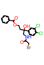 O=C(CBr)NCC(O)(CCOC(=O)c1ccccc1)c1ccc(Cl)c(Cl)c1